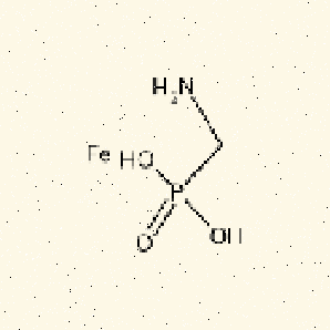 NCP(=O)(O)O.[Fe]